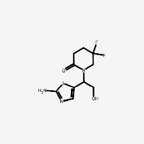 Nc1ncc(C(CO)N2CC(F)(F)CCC2=O)s1